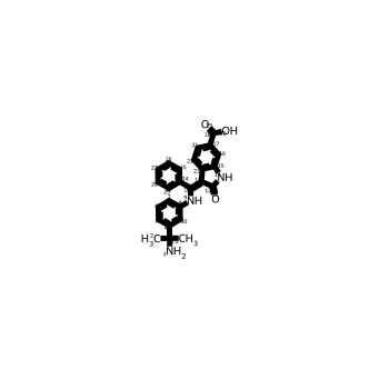 CC(C)(N)c1cccc(N/C(=C2\C(=O)Nc3cc(C(=O)O)ccc32)c2ccccc2)c1